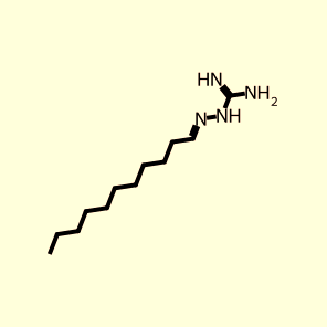 CCCCCCCCCCC=NNC(=N)N